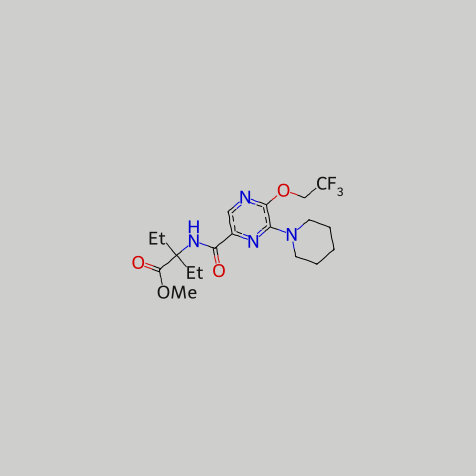 CCC(CC)(NC(=O)c1cnc(OCC(F)(F)F)c(N2CCCCC2)n1)C(=O)OC